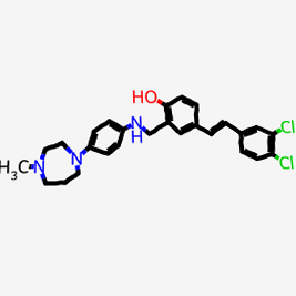 CN1CCCN(c2ccc(NCc3cc(/C=C/c4ccc(Cl)c(Cl)c4)ccc3O)cc2)CC1